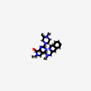 CC(=O)N(Cc1cc2ccccc2cn1)c1nc(N2CCN(C(C)=O)C(C)C2)nc2c1CN(C(C)C)C2=O